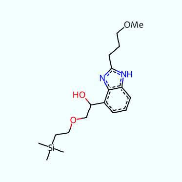 COCCCc1nc2c(C(O)COCC[Si](C)(C)C)cccc2[nH]1